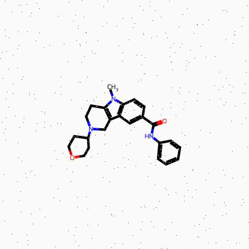 Cn1c2c(c3cc(C(=O)Nc4ccccc4)ccc31)CN(C1CCOCC1)CC2